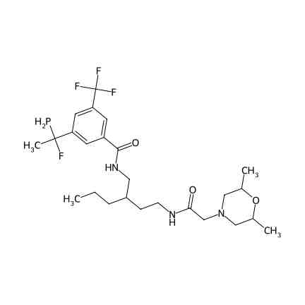 CCCC(CCNC(=O)CN1CC(C)OC(C)C1)CNC(=O)c1cc(C(F)(F)F)cc(C(C)(F)P)c1